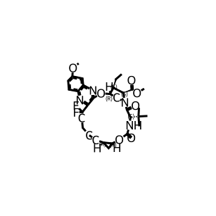 CC[C@@H]1[C@@H]2CN(C(=O)[C@H](C(C)(C)C)NC(=O)O[C@@H]3C[C@H]3CCCCC(F)(F)c3nc4ccc(OC)cc4nc3O2)[C@@H]1C(=O)OC